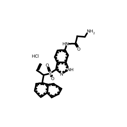 C=CC(c1cccc2ccccc12)S(=O)(=O)c1n[nH]c2cc(NC(=O)CCN)ccc12.Cl